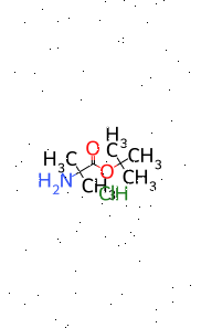 CC(C)(C)OC(=O)C(C)(C)N.Cl